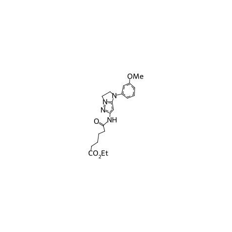 CCOC(=O)CCCCC(=O)Nc1cc2n(n1)CCN2c1cccc(OC)c1